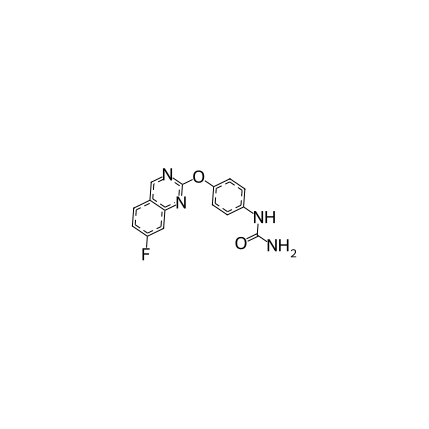 NC(=O)Nc1ccc(Oc2ncc3ccc(F)cc3n2)cc1